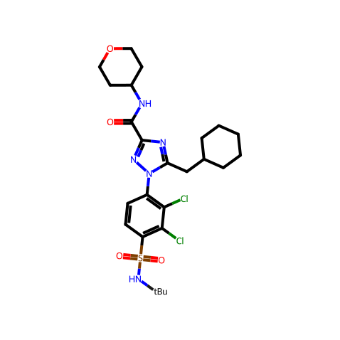 CC(C)(C)NS(=O)(=O)c1ccc(-n2nc(C(=O)NC3CCOCC3)nc2CC2CCCCC2)c(Cl)c1Cl